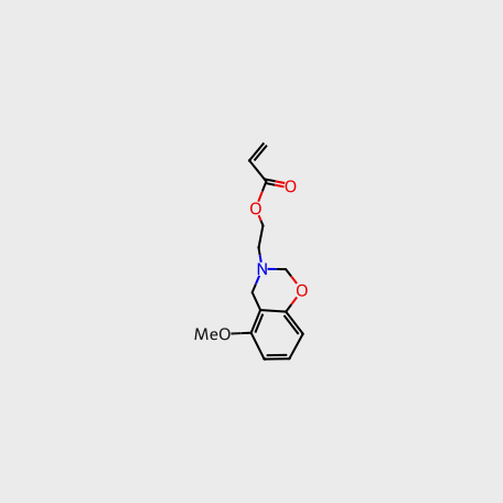 C=CC(=O)OCCN1COc2cccc(OC)c2C1